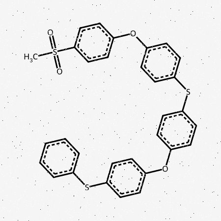 CS(=O)(=O)c1ccc(Oc2ccc(Sc3ccc(Oc4ccc(Sc5ccccc5)cc4)cc3)cc2)cc1